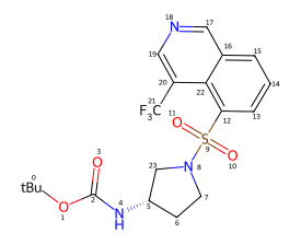 CC(C)(C)OC(=O)N[C@H]1CCN(S(=O)(=O)c2cccc3cncc(C(F)(F)F)c23)C1